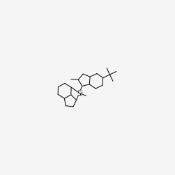 CC1CC2CC(C(C)(C)C)CCC2C1[Si]1(C)C2CCCC3CCC1C32